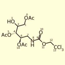 CC(=O)OCC(O)[C@@H](OC(C)=O)[C@@H](CNC(=O)OCC(Cl)(Cl)Cl)OC(C)=O